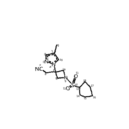 Cc1cnn(C2(CC#N)CN(S(=O)(=O)C3CCCCC3)C2)c1